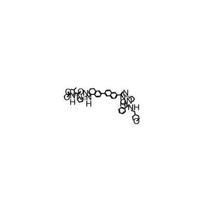 COC(=O)N[C@H](C(=O)N1CCC[C@H]1c1nc2c([nH]1)-c1ccc(-c3ccc4cc(-c5cnc([C@@H]6CCCN6C(=O)[C@H](NCCC6CCOCC6)c6ccccc6)[nH]5)ccc4c3)cc1CC2)C(C)C